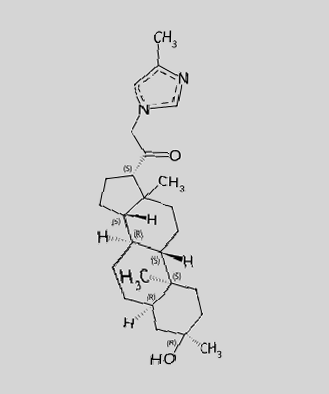 Cc1cn(CC(=O)[C@H]2CC[C@H]3[C@@H]4CC[C@@H]5C[C@](C)(O)CC[C@]5(C)[C@H]4CCC23C)cn1